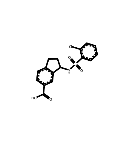 O=C(O)c1ccc2c(c1)C(NS(=O)(=O)c1ccccc1Cl)CC2